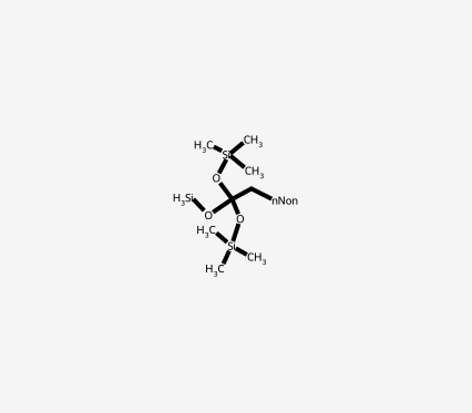 CCCCCCCCCCC(O[SiH3])(O[Si](C)(C)C)O[Si](C)(C)C